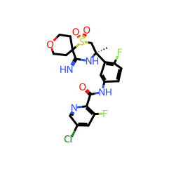 C[C@@]1(c2cc(NC(=O)c3ncc(Cl)cc3F)ccc2F)CS(=O)(=O)C2(CCOCC2)C(=N)N1